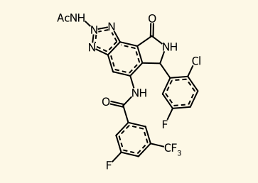 CC(=O)Nn1nc2cc(NC(=O)c3cc(F)cc(C(F)(F)F)c3)c3c(c2n1)C(=O)NC3c1cc(F)ccc1Cl